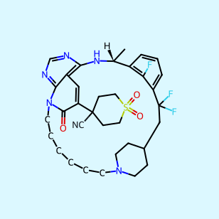 C[C@H]1Nc2ncnc3c2cc(C2(C#N)CCS(=O)(=O)CC2)c(=O)n3CCCCCCN2CCC(CC2)CC(F)(F)c2cccc1c2F